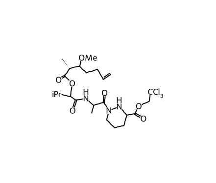 C=CCCC(OC)[C@@H](C)C(=O)OC(C(=O)NC(C)C(=O)N1CCCC(C(=O)OCC(Cl)(Cl)Cl)N1)C(C)C